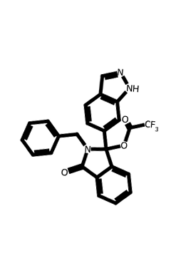 O=C1c2ccccc2C(OC(=O)C(F)(F)F)(c2ccc3cn[nH]c3c2)N1Cc1ccccc1